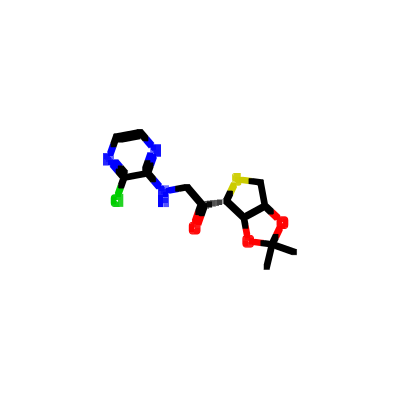 CC1(C)OC2CS[C@@H](C(=O)CNc3nccnc3Cl)C2O1